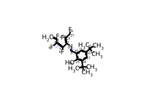 C=C(F)/C(F)=C(/F)C(/N=C/c1cc(C(C)(C)C)cc(C(C)(C)C)c1O)=C(F)CF